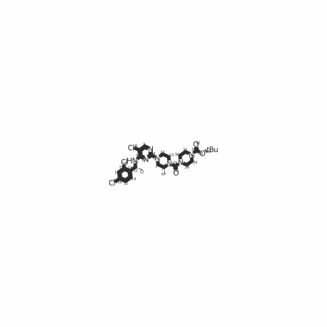 C[C@@H]1CN(c2ncc(Cl)c(N[C@H](C)c3ccc(Cl)cc3Cl)n2)CCN1C(=O)N1CCN(C(=O)OC(C)(C)C)CC1